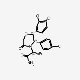 CCC[C@@H](C(N)=O)N1C(=O)CO[C@H](c2ccc(Cl)c(Cl)c2)[C@@H]1c1ccc(Cl)cc1